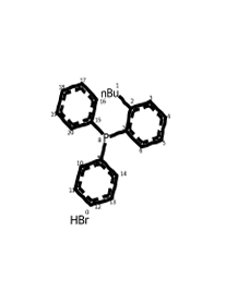 Br.CCCCc1ccccc1P(c1ccccc1)c1ccccc1